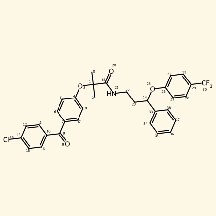 CC(C)(Oc1ccc(C(=O)c2ccc(Cl)cc2)cc1)C(=O)NCCC(Oc1ccc(C(F)(F)F)cc1)c1ccccc1